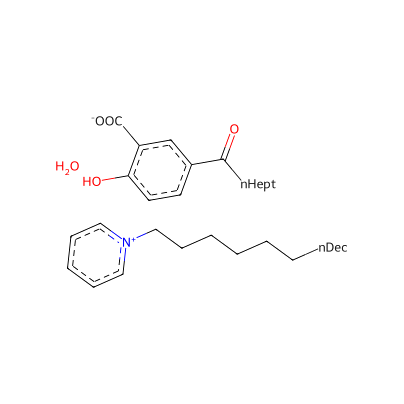 CCCCCCCC(=O)c1ccc(O)c(C(=O)[O-])c1.CCCCCCCCCCCCCCCC[n+]1ccccc1.O